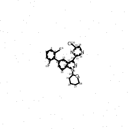 Fc1cccc(F)c1-c1ccc2c(c1)c(-c1cncc(Cl)n1)nn2C1CCCCO1